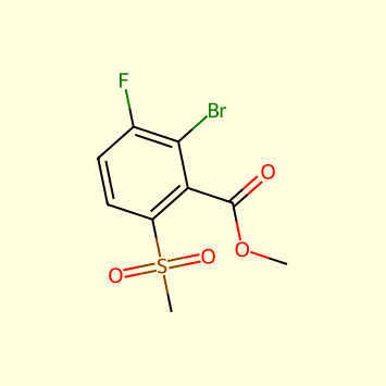 COC(=O)c1c(S(C)(=O)=O)ccc(F)c1Br